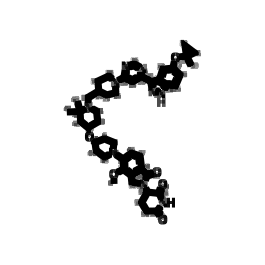 COc1c(N2CCC(O[C@@H]3CCN(CC4CCN(c5cc(-c6n[nH]c7ccc(OC8(C)CC8)cc67)ncn5)CC4)C(C)(C)C3)CC2)ccc2c1CN(C1CCC(=O)NC1=O)C2=O